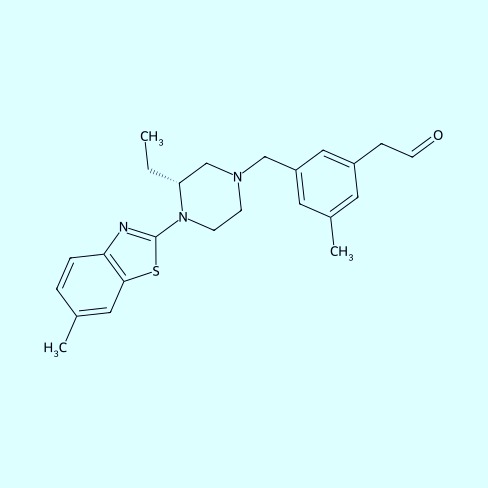 CC[C@@H]1CN(Cc2cc(C)cc(CC=O)c2)CCN1c1nc2ccc(C)cc2s1